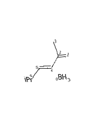 B.C=C(C)C=CC(C)C